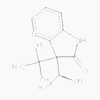 CC(C)C1(C(C)(C)C)C(=O)Nc2cccnc21